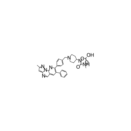 CNC(=O)N(OC(=O)O)C1CCN(Cc2ccc(-c3nc4c(cnc5cc(C)nn54)cc3-c3ccccc3)cc2)CC1